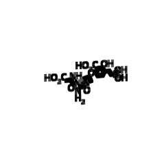 N[C@H](CC(=O)O)C(=O)N[C@H](N)C(=O)N1CC(Oc2ccc(CCB(O)O)c(O)c2C(=O)O)C1